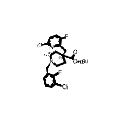 C[C@@H]1C[C@](Cc2nc(Cl)ccc2F)(C(=O)OC(C)(C)C)CCN1Cc1cccc(Cl)c1F